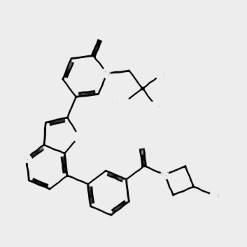 CC(C)(O)Cn1cc(-c2cc3nccc(-c4cccc(C(=O)N5CC(O)C5)c4)c3o2)ccc1=O